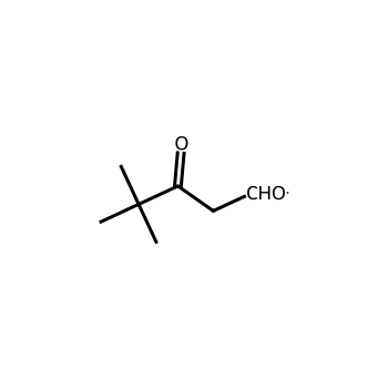 CC(C)(C)C(=O)C[C]=O